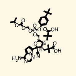 CC(C)OC(=O)OCOP(=O)(OC[C@@H]1O[C@@](C#N)(c2ccc3c(N)ncnn23)[C@H](CC(C)(C)C(=O)O)[C@H]1CC(C)(C)C(=O)O)Oc1ccc(C(C)(C)C)cc1